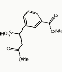 COC(=O)CC(c1cccc(C(=O)OC)c1)S(=O)(=O)O